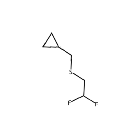 FC(F)CSC[C]1CC1